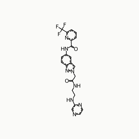 O=C(Cn1cc2cc(NC(=O)c3cccc(C(F)(F)F)n3)ccc2n1)NCCNc1cnccn1